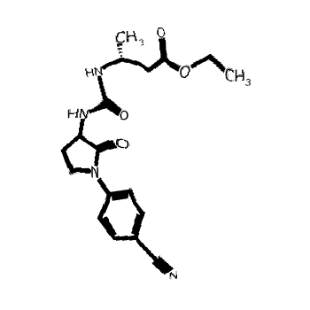 CCOC(=O)C[C@@H](C)NC(=O)NC1CCN(c2ccc(C#N)cc2)C1=O